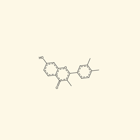 Cc1ccc(-c2oc3cc(O)ccc3c(=O)c2C)cc1C